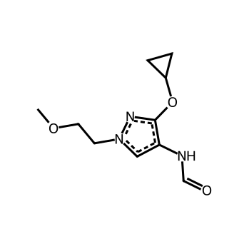 COCCn1cc(NC=O)c(OC2CC2)n1